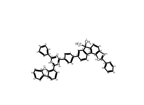 CC1(C)c2cc(-c3ccc(-c4nc(-c5ccccc5)nc(-c5cccc6c5oc5ccccc56)n4)cc3)ccc2-c2c1ccc1nc(-c3ccccc3)oc21